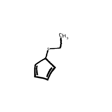 CCSC1C=CC=C1